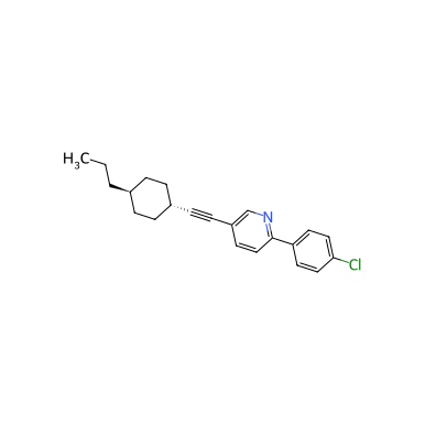 CCC[C@H]1CC[C@H](C#Cc2ccc(-c3ccc(Cl)cc3)nc2)CC1